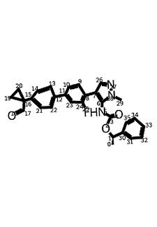 C[C@@H](OC(=O)Nc1c(-c2ccc(-c3ccc(C4(C=O)CC4)cc3)cc2F)cnn1C)c1ccccc1